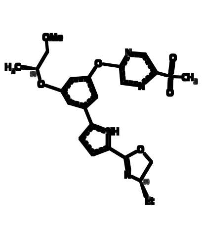 CC[C@@H]1COC(c2ccc(-c3cc(Oc4cnc(S(C)(=O)=O)cn4)cc(O[C@@H](C)COC)c3)[nH]2)=N1